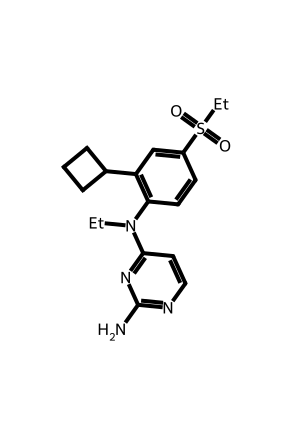 CCN(c1ccnc(N)n1)c1ccc(S(=O)(=O)CC)cc1C1CCC1